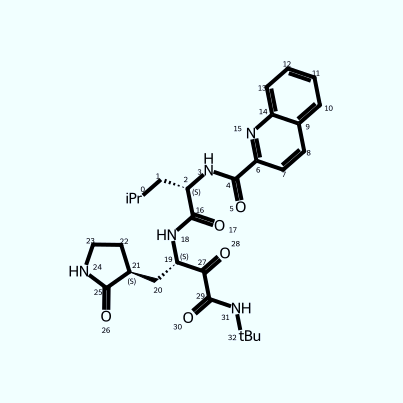 CC(C)C[C@H](NC(=O)c1ccc2ccccc2n1)C(=O)N[C@@H](C[C@@H]1CCNC1=O)C(=O)C(=O)NC(C)(C)C